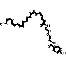 CC/C=C\C/C=C\C/C=C\CC=CC/C=C\C/C=C\CCC(=O)NCCOCCNC(=O)c1ccc(C)nc1